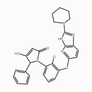 O=C1C=C(O)C(c2ccccc2)N1c1cccc(Sc2ccc3nc(N4CCCCC4)[nH]c3n2)c1Cl